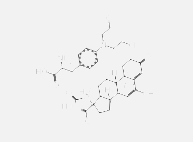 CC(=O)O[C@]1(C(C)=O)CC[C@H]2[C@@H]3C=C(C)C4=CC(=O)CC[C@]4(C)[C@H]3CC[C@@]21C.N[C@@H](Cc1ccc(N(CCCl)CCCl)cc1)C(=O)O